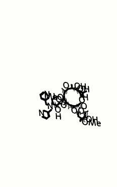 CO[C@]1(C)C[C@H](O[C@H]2[C@H](C)[C@@H](O[C@@H]3O[C@H](C)C[C@H](N(Cc4cccnc4)Cc4cccnc4)[C@H]3O)[C@@](C)(OC)C[C@@H](C)C(=O)C(C)[C@@H](O)[C@@]3(O)C(C)[C@H]3OC(=O)[C@@H]2C)O[C@@H](C)[C@@H]1O